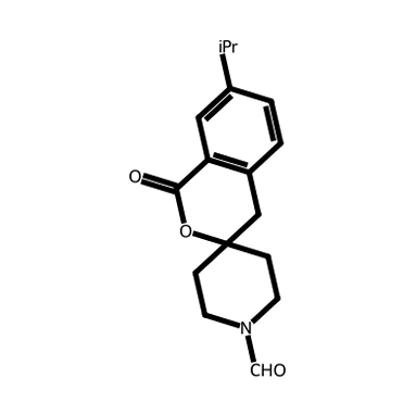 CC(C)c1ccc2c(c1)C(=O)OC1(CCN(C=O)CC1)C2